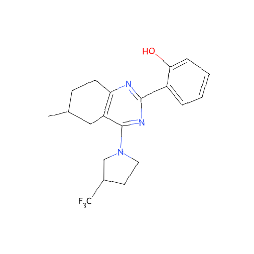 CC1CCc2nc(-c3ccccc3O)nc(N3CCC(C(F)(F)F)C3)c2C1